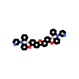 c1cncc(N2c3ccccc3B3c4ccc5c(ccc6c7ccc8c9c(ccc8c7oc56)B5c6ccccc6N(c6cccnc6)c6cccc(c65)O9)c4Oc4cccc2c43)c1